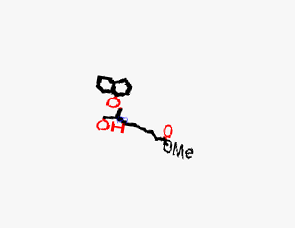 COC(=O)CCCC/C=C(/CO)COc1cccc2ccccc12